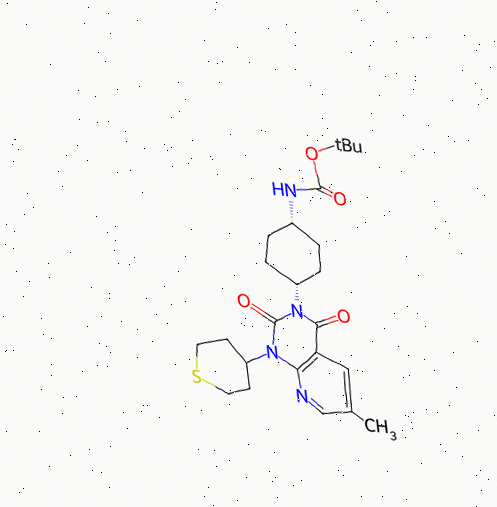 Cc1cnc2c(c1)c(=O)n([C@H]1CC[C@@H](NC(=O)OC(C)(C)C)CC1)c(=O)n2C1CCSCC1